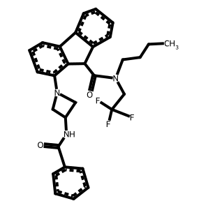 CCCCN(CC(F)(F)F)C(=O)C1c2ccccc2-c2cccc(N3CC(NC(=O)c4ccccc4)C3)c21